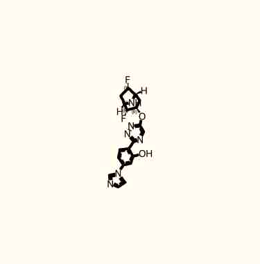 Oc1cc(-n2ccnc2)ccc1-c1ncc(O[C@@H]2C[C@@H]3N[C@@H](C[C@@H]3F)[C@H]2F)nn1